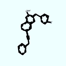 Oc1cc2ccc(C#CCc3ccccc3)cc2cc1Cc1ccc(F)cc1